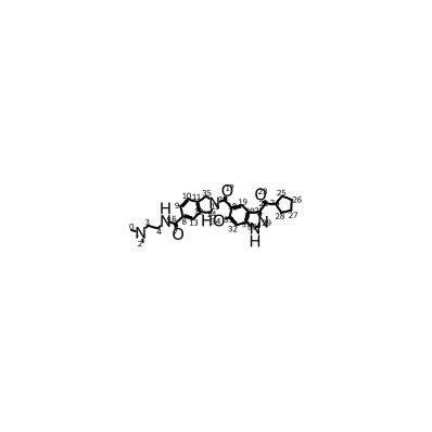 CN(C)CCNC(=O)c1ccc2c(c1)CN(C(=O)c1cc3c(C(=O)C4CCCC4)n[nH]c3cc1O)C2